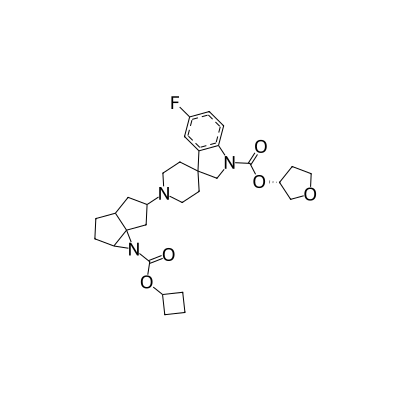 O=C(O[C@@H]1CCOC1)N1CC2(CCN(C3CC4CCC5N(C(=O)OC6CCC6)C45C3)CC2)c2cc(F)ccc21